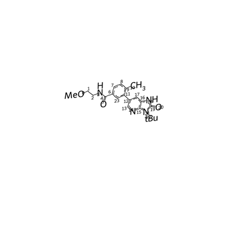 COCCNC(=O)c1ccc(C)c(-c2cnc3c(c2)[nH]c(=O)n3C(C)(C)C)c1